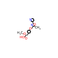 CCOC(Cc1ccc(OCc2nc(-c3cccnc3)oc2C)cc1)C(=O)O